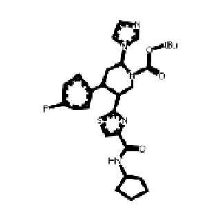 CC(C)(C)OC(=O)N1CC(c2nc(C(=O)NC3CCCC3)cs2)C(c2ccc(F)cc2)CC1n1ccnc1